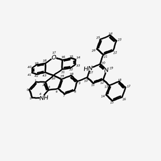 C1=CC2=C(NC1)c1ccc(C3C=C(c4ccccc4)N=C(c4ccccc4)N3)cc1C21c2ccccc2Oc2ccccc21